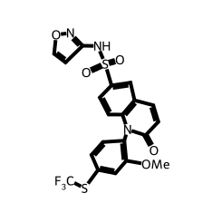 COc1cc(SC(F)(F)F)ccc1-n1c(=O)ccc2cc(S(=O)(=O)Nc3ccon3)ccc21